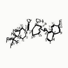 C[C@@H]1CN(c2ccnc3cc(F)ccc23)CC[C@@H]1C(=O)N1CCn2c(nnc2C(F)(F)F)C1